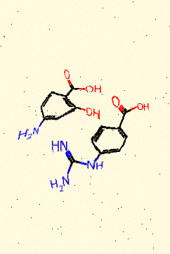 N=C(N)Nc1ccc(C(=O)O)cc1.Nc1ccc(C(=O)O)c(O)c1